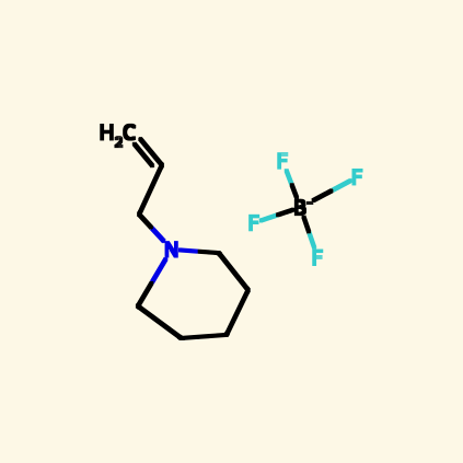 C=CCN1CCCCC1.F[B-](F)(F)F